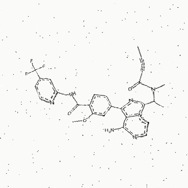 CC#CC(=O)N(C)C(C)c1nc(-c2ccc(C(=O)Nc3cc(C(F)(F)F)ccn3)c(OC)c2)c2c(N)nccn12